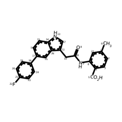 Cc1ccc(C(=O)O)c(NC(=O)Cc2c[nH]c3ccc(-c4ccc(F)cc4)cc23)c1